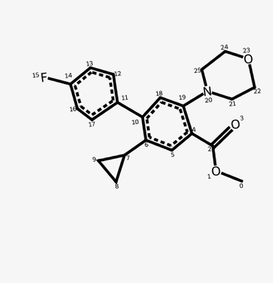 COC(=O)c1cc(C2CC2)c(-c2ccc(F)cc2)cc1N1CCOCC1